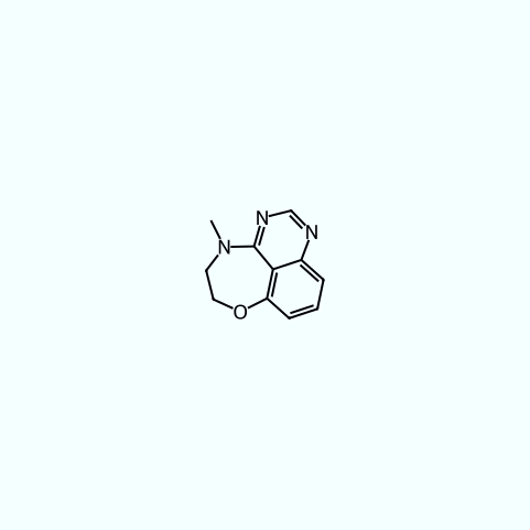 CN1CCOc2cccc3ncnc1c23